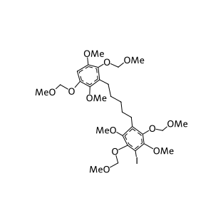 COCOc1cc(OC)c(OCOC)c(CCCCCc2c(OC)c(OCOC)c(I)c(OC)c2OCOC)c1OC